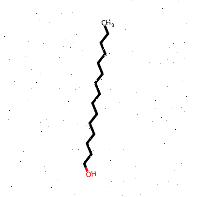 CCCCCCCCCCCCCC[CH]O